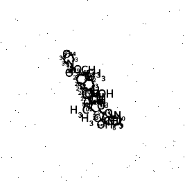 C[C@@H]1C[C@H]([C@H](Oc2ncccn2)C(C)(C)O)O[C@H]2[C@@H]1[C@@]1(C)CC[C@@]34C[C@@]35CC[C@H](OC(=O)N3CCOCC3)C(C)(C)[C@@H]5CC[C@H]4[C@]1(C)[C@H]2O